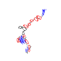 COC(=O)C[C@H](NC(=O)[C@@H](NC(=O)CCCN(C(=O)OC(C)(C)C)c1cc(C)ccn1)C(C)C)c1ccc(-c2ccc(OCCOCCOCCOCCOCCN=[N+]=[N-])c3ccccc23)cc1